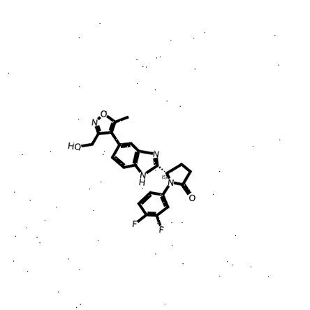 Cc1onc(CO)c1-c1ccc2[nH]c([C@@H]3CCC(=O)N3c3ccc(F)c(F)c3)nc2c1